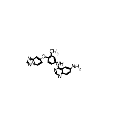 Cc1cc(Nc2ncnc3ccc(N)cc23)ccc1Oc1ccn2ncnc2c1